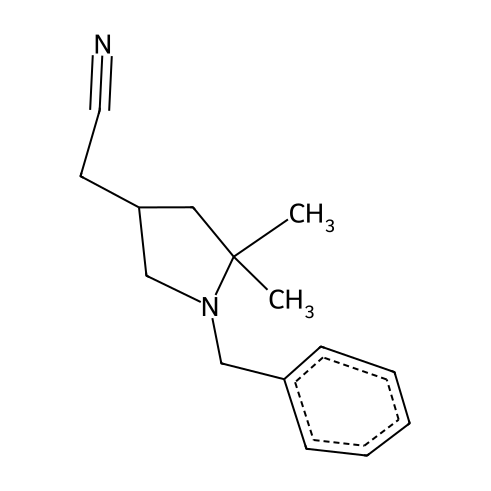 CC1(C)CC(CC#N)CN1Cc1ccccc1